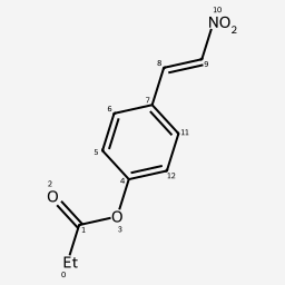 CCC(=O)Oc1ccc(C=C[N+](=O)[O-])cc1